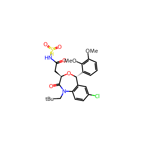 COc1cccc([C@H]2O[C@H](CC(=O)N[SH](=O)=O)C(=O)N(CC(C)(C)C)c3ccc(Cl)cc32)c1OC